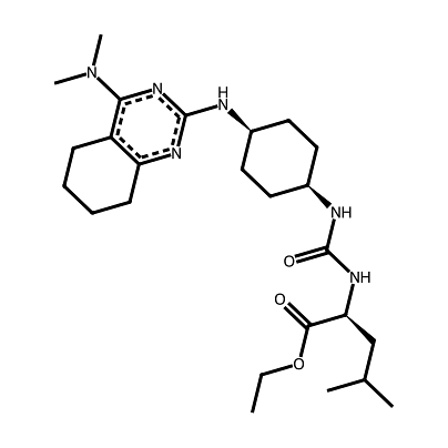 CCOC(=O)[C@H](CC(C)C)NC(=O)N[C@H]1CC[C@@H](Nc2nc3c(c(N(C)C)n2)CCCC3)CC1